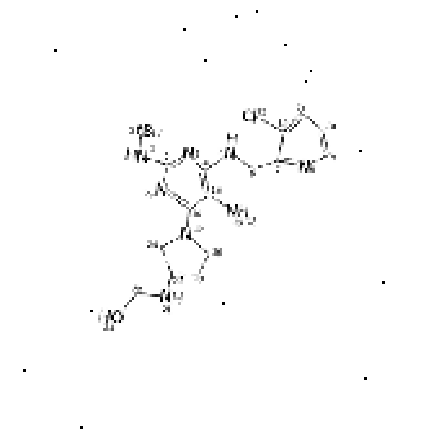 CC(C)(C)Nc1nc(NCc2ncccc2Cl)c(N)c(N2CCC(NCO)C2)n1